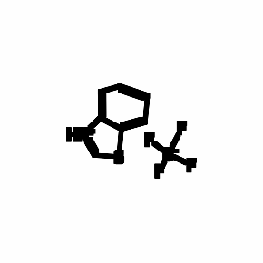 F[B-](F)(F)F.c1ccc2sc[nH+]c2c1